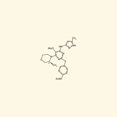 COc1c(Nc2cc(C)[nH]n2)nc(Sc2ccc(NC(C)=O)cc2)nc1N1CCOC[C@@H]1C